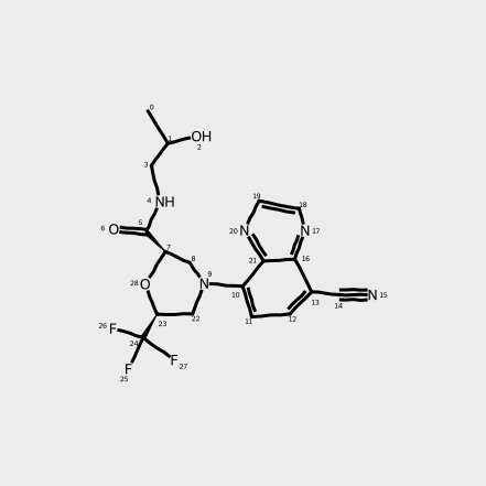 CC(O)CNC(=O)[C@H]1CN(c2ccc(C#N)c3nccnc23)C[C@@H](C(F)(F)F)O1